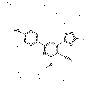 COc1nc(-c2ccc(O)cc2)cc(-c2ccc(C)o2)c1C#N